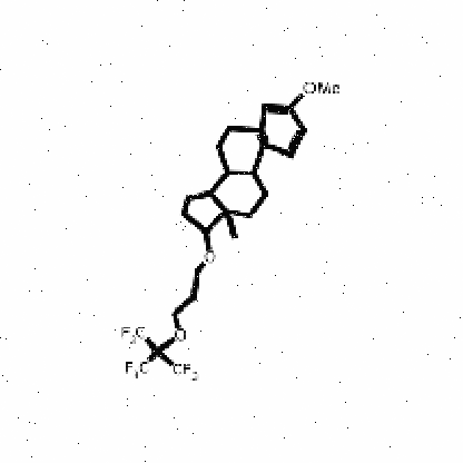 COc1ccc2c(c1)CCC1C2CCC2(C)C(OCCCOC(C(F)(F)F)(C(F)(F)F)C(F)(F)F)CCC12